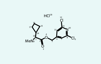 CN[C@H](C(=O)OCc1cc(Cl)nc(Cl)c1)C1CCC1.Cl